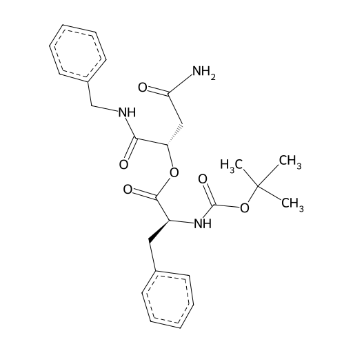 CC(C)(C)OC(=O)N[C@@H](Cc1ccccc1)C(=O)O[C@@H](CC(N)=O)C(=O)NCc1ccccc1